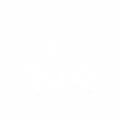 COc1ccccc1C/C(C(=O)c1ccc(SC)cc1)=C(\C(=O)[O-])c1ccc2nsnc2c1.[Na+]